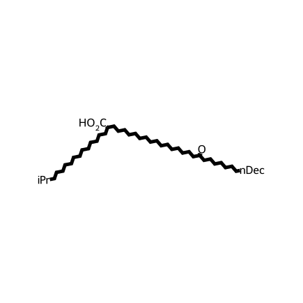 CCCCCCCCCCCCCCCCCC(=O)CCCCCCCCCCCCCCCCC(CCCCCCCCCCCCCC(C)C)C(=O)O